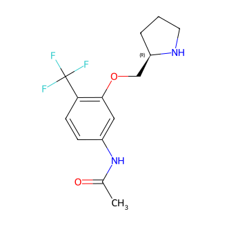 CC(=O)Nc1ccc(C(F)(F)F)c(OC[C@H]2CCCN2)c1